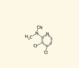 CN(C#N)c1nccc(Cl)c1Cl